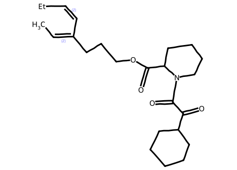 C/C=C(\C=C/CC)CCCOC(=O)C1CCCCN1C(=O)C(=O)C1CCCCC1